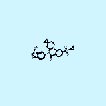 CCCn1nnc2ccc(NC(=O)c3ccc(S(=O)(=O)C4CC4)cc3N3CCC4(CC3)CC4)nc21